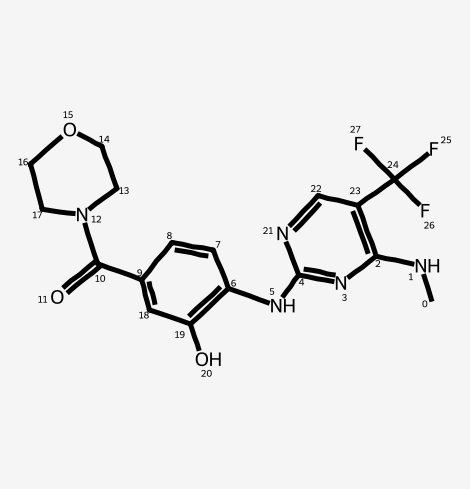 CNc1nc(Nc2ccc(C(=O)N3CCOCC3)cc2O)ncc1C(F)(F)F